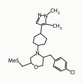 CSCC1CN(C2CCC(c3cnn(C)c3C)CC2)C(Cc2ccc(Cl)cc2)CO1